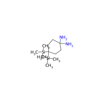 C[Si](C)(C)C1([Si](C)(C)C)CCC(N)(N)CC1